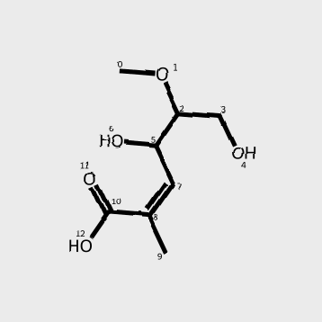 COC(CO)C(O)C=C(C)C(=O)O